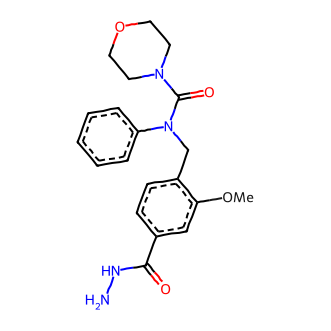 COc1cc(C(=O)NN)ccc1CN(C(=O)N1CCOCC1)c1ccccc1